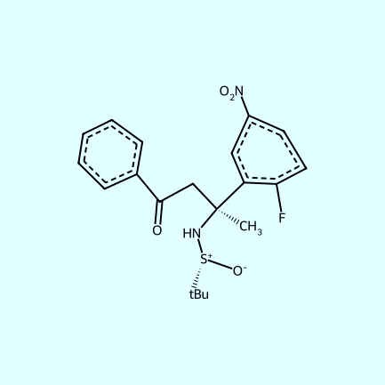 CC(C)(C)[S@@+]([O-])N[C@@](C)(CC(=O)c1ccccc1)c1cc([N+](=O)[O-])ccc1F